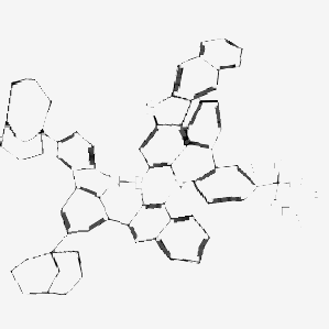 CC(C)(C)c1ccc(N2c3cc4c(cc3B3c5c(cc6ccccc6c52)-c2cc(C56CCCC(CCC5)C6)cc5c6cc(C78CCCC(CCC7)C8)ccc6n3c25)sc2cc3ccccc3cc24)c(-c2ccccc2)c1